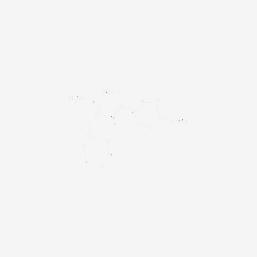 COc1ccc(-c2cnc(N)c(CC3CCCCC3)n2)cc1